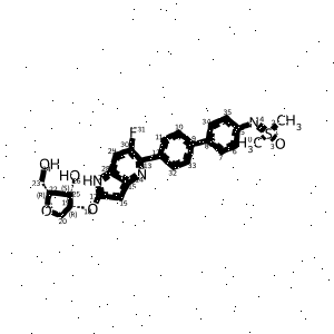 CS(C)(=O)=Nc1ccc(-c2ccc(-c3nc4cc(O[C@@H]5CO[C@H](CO)[C@@H]5O)[nH]c4cc3F)cc2)cc1